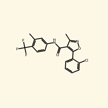 Cc1cc(NC(=O)c2c(C)noc2-c2ccccc2Cl)ccc1C(F)(F)F